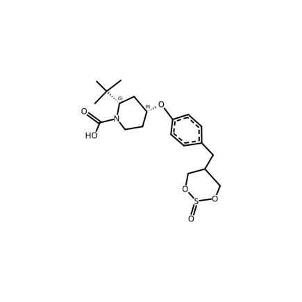 CC(C)(C)[C@@H]1C[C@H](Oc2ccc(CC3COS(=O)OC3)cc2)CCN1C(=O)O